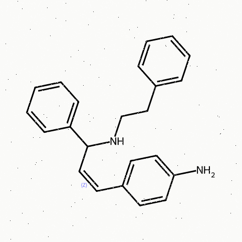 Nc1ccc(/C=C\C(NCCc2ccccc2)c2ccccc2)cc1